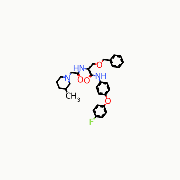 CC1CCCN(CC(=O)NC(COCc2ccccc2)C(=O)Nc2ccc(Oc3ccc(F)cc3)cc2)C1